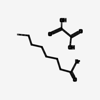 CCCCCCCC(=O)Br.O=C(O)C(=O)O